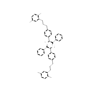 Cc1ccc(C)c(CCCc2ccc(-c3nc(-c4ccccc4)c(-c4ccc(CCCc5cc(C)ccc5C)cc4)nc3-c3ccccc3)cc2)c1